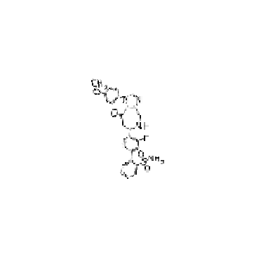 COc1ccc(-n2cnc3c2C(=O)CC(c2ccc(-c4ccccc4S(N)(=O)=O)cc2F)NC3)cc1